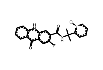 CC(C)(NC(=O)c1cc2[nH]c3ccccc3c(=O)c2cc1F)c1cccc[n+]1[O-]